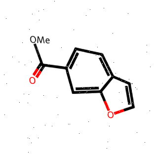 COC(=O)c1ccc2[c]coc2c1